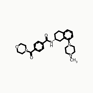 CN1CCN(c2cccc3c2C[C@H](NC(=O)c2ccc(C(=O)N4CCOCC4)cc2)CC3)CC1